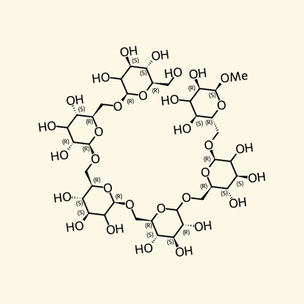 CO[C@H]1O[C@H](CO[C@@H]2O[C@H](COC3O[C@H](CO[C@@H]4O[C@H](CO[C@@H]5O[C@H](CO[C@@H]6O[C@H](CO)[C@@H](O)[C@H](O)C6O)[C@@H](O)C(O)[C@H]5O)[C@@H](O)[C@H](O)C4O)[C@@H](O)[C@H](O)[C@H]3O)[C@@H](O)[C@H](O)C2O)[C@@H](O)C(O)[C@H]1O